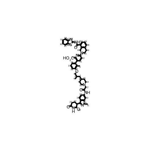 Cc1c(OCC(C)CC2CCN(CC(=O)Nc3ccc4c(C5CCC(=O)NC5=O)nn(C)c4c3)CC2)cccc1-c1ccc(N2CCc3cccc(C(=O)Nc4nc5ccccc5s4)c3C2)nc1C(=O)O